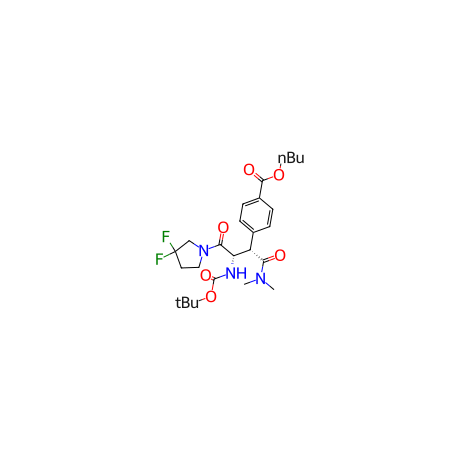 CCCCOC(=O)c1ccc([C@H](C(=O)N(C)C)[C@H](NC(=O)OC(C)(C)C)C(=O)N2CCC(F)(F)C2)cc1